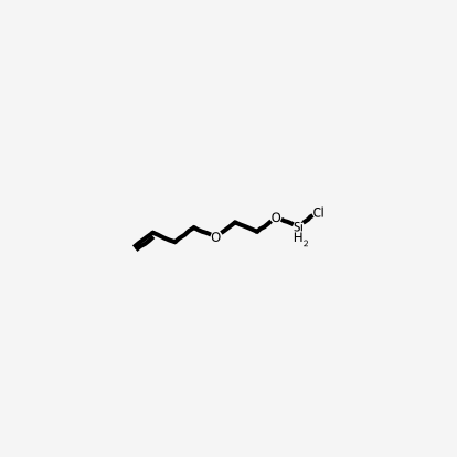 C=CCCOCCO[SiH2]Cl